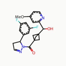 COc1ccnc(C(O)C23CC(C(=O)N4N=CCC4c4cc(F)cc(F)c4)(C2)C3)c1